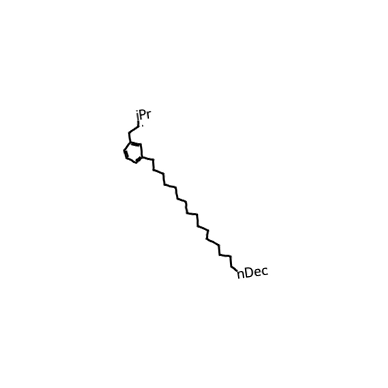 CCCCCCCCCCCCCCCCCCCCCCCCCCc1cccc(C[CH]C(C)C)c1